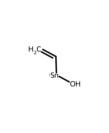 C=[CH][Sn][OH]